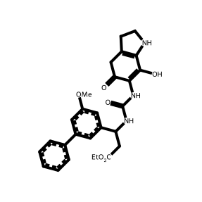 CCOC(=O)CC(NC(=O)NC1=C(O)C2=C(CCN2)CC1=O)c1cc(OC)cc(-c2ccccc2)c1